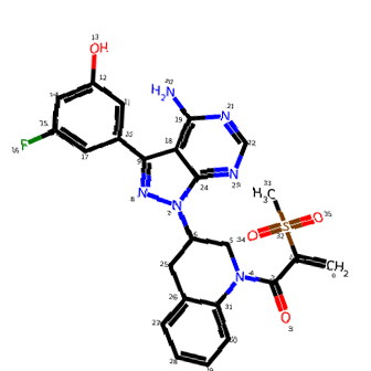 C=C(C(=O)N1CC(n2nc(-c3cc(O)cc(F)c3)c3c(N)ncnc32)Cc2ccccc21)S(C)(=O)=O